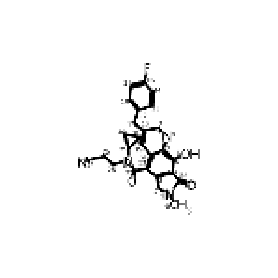 CN1Cc2c(c(O)c3ncc(Cc4ccc(F)cc4)cc3c2C(=O)N(CCC#N)C2CC2)C1=O